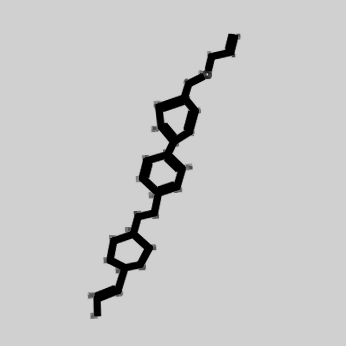 C=CCOCc1ccc(-c2ccc(CCC3CCC(C=CC)CC3)cc2)cc1